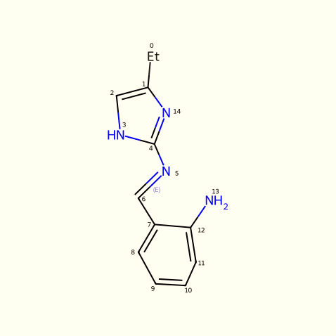 CCc1c[nH]c(/N=C/c2ccccc2N)n1